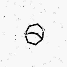 C1CN2CCC(CC2)O1